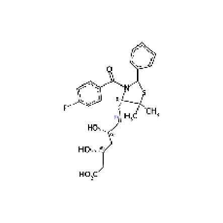 CC1(C)SC(c2ccccc2)N(C(=O)c2ccc(F)cc2)[C@H]1/C=C/[C@@H](O)C[C@@H](O)CC(=O)O